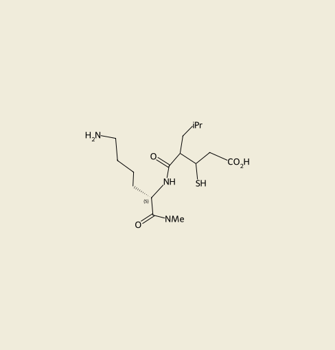 CNC(=O)[C@H](CCCCN)NC(=O)C(CC(C)C)C(S)CC(=O)O